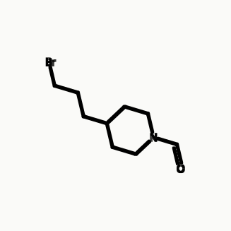 O=CN1CCC(CCCBr)CC1